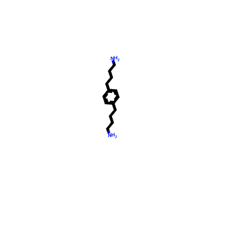 NCCCCc1ccc(CCCCN)cc1